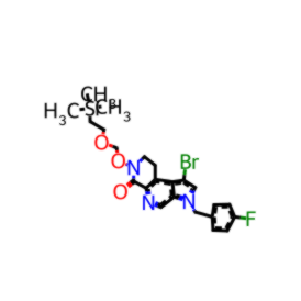 C[Si](C)(C)CCOCON1CCc2c(ncc3c2c(Br)cn3Cc2ccc(F)cc2)C1=O